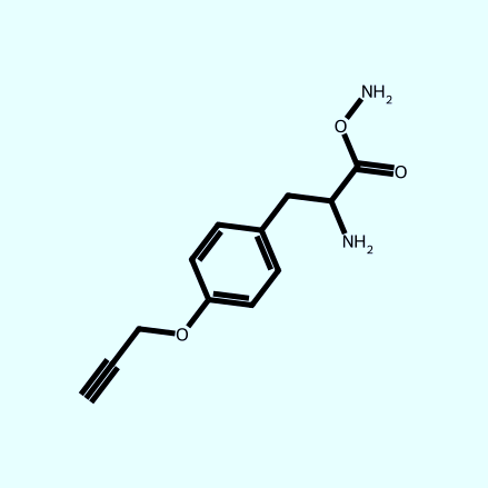 C#CCOc1ccc(CC(N)C(=O)ON)cc1